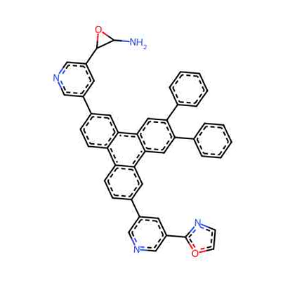 NC1OC1c1cncc(-c2ccc3c4ccc(-c5cncc(-c6ncco6)c5)cc4c4cc(-c5ccccc5)c(-c5ccccc5)cc4c3c2)c1